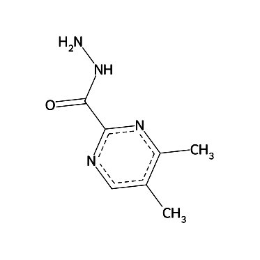 Cc1cnc(C(=O)NN)nc1C